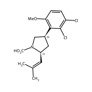 COc1ccc(Cl)c(Cl)c1[C@H]1C[C@@H](C=C(C)C)N(C(=O)O)C1